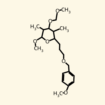 COCOC1C(C)C(CCCOCc2ccc(OC)cc2)OC(OC)C1C